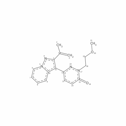 C=C(C)c1nn2ccccc2c1-c1ccc(=O)n(CCOC)n1